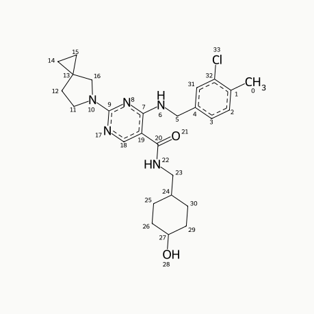 Cc1ccc(CNc2nc(N3CCC4(CC4)C3)ncc2C(=O)NCC2CCC(O)CC2)cc1Cl